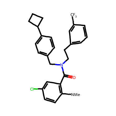 CNc1ccc(Cl)cc1C(=O)N(CCc1cccc(C(F)(F)F)c1)Cc1ccc(C2CCC2)cc1